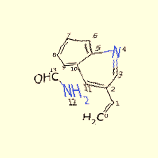 C=Cc1cnc2ccccc2c1.NC=O